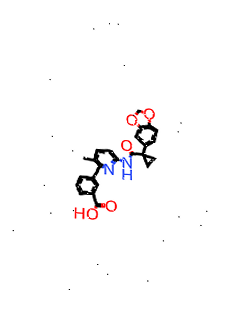 Cc1ccc(NC(=O)C2(c3ccc4c(c3)OCO4)CC2)nc1-c1cccc(C(=O)O)c1